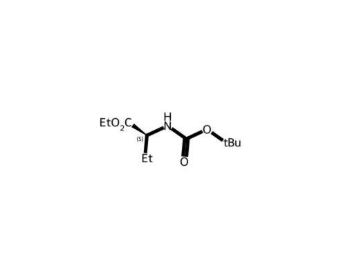 CCOC(=O)[C@H](CC)NC(=O)OC(C)(C)C